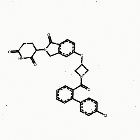 O=C1CCC(N2Cc3cc(SC4CN(C(=O)c5ccccc5-c5ccc(Cl)cc5)C4)ccc3C2=O)C(=O)N1